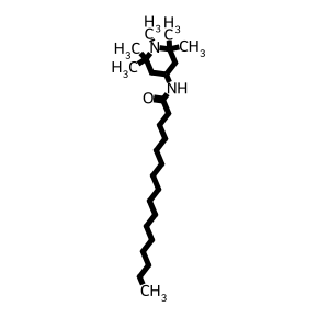 CCCCCCCCCCCCCCCC(=O)NC1CC(C)(C)N(C)C(C)(C)C1